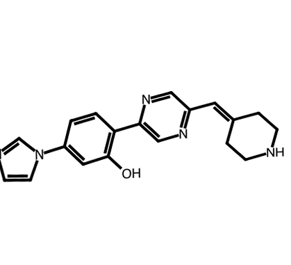 Oc1cc(-n2ccnc2)ccc1-c1cnc(C=C2CCNCC2)cn1